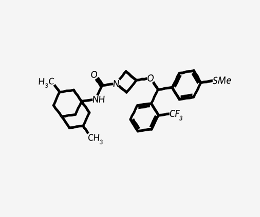 CSc1ccc(C(OC2CN(C(=O)NC34CC(C)CC(CC(C)C3)C4)C2)c2ccccc2C(F)(F)F)cc1